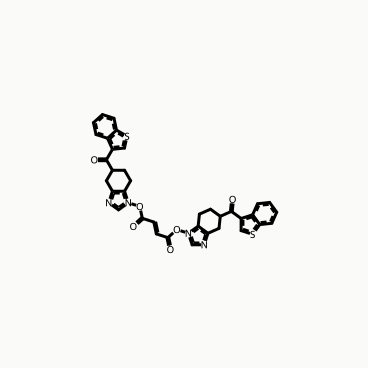 O=C(/C=C/C(=O)On1cnc2c1CCC(C(=O)c1csc3ccccc13)C2)On1cnc2c1CCC(C(=O)c1csc3ccccc13)C2